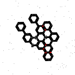 c1ccc(-c2ccc3c(c2)B2c4cc(-c5ccccc5)ccc4N(c4c(-c5ccccc5)cccc4-c4ccccc4)c4cc(-c5ccccc5)cc(c42)S3)cc1